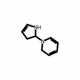 C1=CCN(C2CC=CN2)C=C1